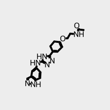 CC(=O)NCCOC1=CC=C(c2nnc(Nc3ccc4[nH]ncc4c3)[nH]2)CC1